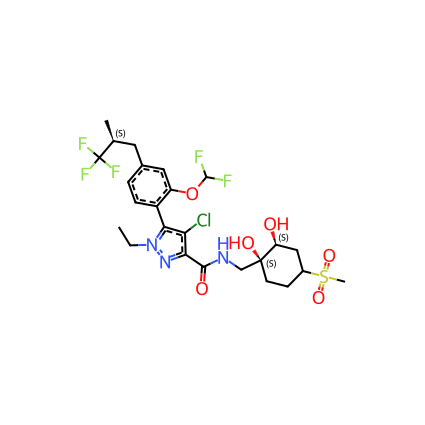 CCn1nc(C(=O)NC[C@@]2(O)CCC(S(C)(=O)=O)C[C@@H]2O)c(Cl)c1-c1ccc(C[C@H](C)C(F)(F)F)cc1OC(F)F